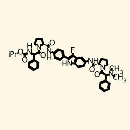 CC(C)OC(=O)NC(C(=O)N1CCC[C@H]1C(=O)Nc1ccc(-c2[nH]c3ccc(NC(=O)[C@@H]4CCCN4C(=O)C(c4ccccc4)N(C)C)cc3c2F)cc1)c1ccccc1